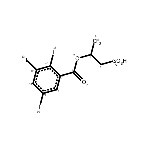 O=C(OC(CS(=O)(=O)O)C(F)(F)F)c1cc(I)cc(I)c1I